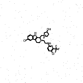 C[N+]1(CC2c3[nH]c4ccc(Cl)cc4c3CCN2CCNc2ccc(Cl)c(C(F)(F)F)n2)CCC(O)C1